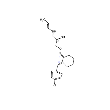 CC=CNC[C@@H](O)CO/N=C1\CCCC\C1=C/c1ccc(Cl)cc1